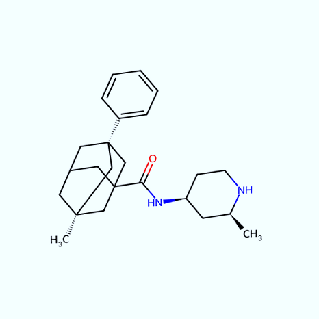 C[C@H]1C[C@@H](NC(=O)C23CC4C[C@](C)(C2)C[C@@](c2ccccc2)(C4)C3)CCN1